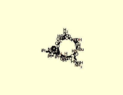 CC[C@H](C)[C@@H]1NC(=O)[C@@H](CCCNC(=N)N)CC(=O)[C@H](CC(C)C)NC(=O)[C@H]([C@H](O)C(C)C)NC(=O)[C@@H](NC(=O)[C@H](CC(C)C)NC(=O)[C@H](N)CC(C)C)[C@@H](c2ccccc2)OC(=O)[C@H](CO)CC(=O)[C@H]([C@H](O)C(N)=O)CC(=O)CNC(=O)[C@H]([C@H](C)O)NC1=O